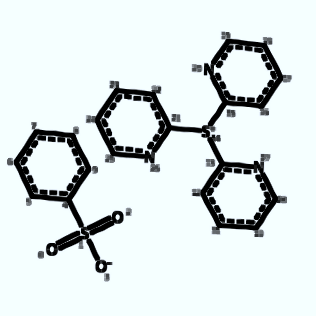 O=S(=O)([O-])c1ccccc1.c1ccc([S+](c2ccccn2)c2ccccn2)nc1